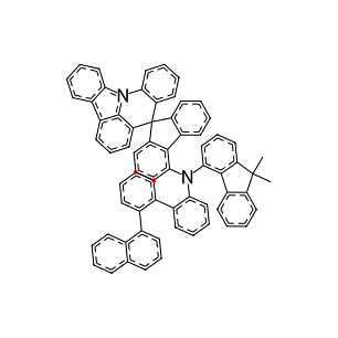 CC1(C)c2ccccc2-c2c(N(c3ccccc3-c3ccccc3-c3cccc4ccccc34)c3cccc4c3-c3ccccc3C43c4ccccc4-n4c5ccccc5c5cccc3c54)cccc21